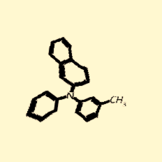 Cc1cccc(N(C2=CCC3C=CC=CC3=C2)C2=CC=CCC2)c1